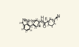 N#CN1CCCC(F)(C(=O)Nc2cnc(-c3cccc4cn[nH]c34)cn2)C1